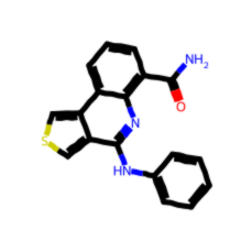 NC(=O)c1cccc2c1nc(Nc1ccccc1)c1cscc12